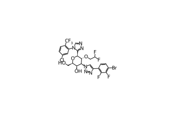 OC[C@H]1O[C@@H](c2nncn2-c2cc(Cl)ccc2C(F)(F)F)[C@H](OCC(F)F)[C@@H](n2cc(-c3ccc(Br)c(F)c3F)nn2)[C@H]1O